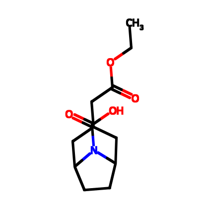 CCOC(=O)CC1CC2CCC(C1)N2C(=O)O